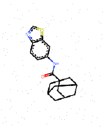 O=C(Nc1ccc2ncsc2c1)C12CC3CC(CC(C3)C1)C2